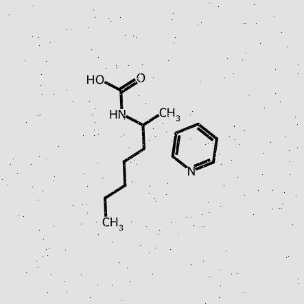 CCCCCC(C)NC(=O)O.c1ccncc1